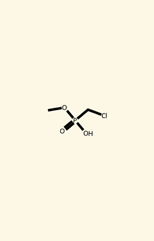 COP(=O)(O)CCl